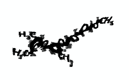 CCOCCOCCOCCOc1cc(C)cc(COc2cc(C)cc(CC)c2)c1